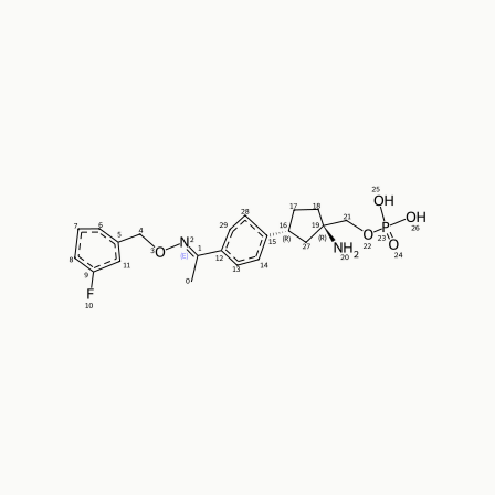 C/C(=N\OCc1cccc(F)c1)c1ccc([C@@H]2CC[C@](N)(COP(=O)(O)O)C2)cc1